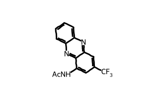 CC(=O)Nc1cc(C(F)(F)F)cc2nc3ccccc3nc12